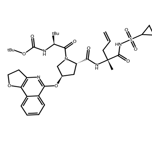 C=CC[C@@](C)(NC(=O)[C@@H]1C[C@@H](Oc2nc3c(c4ccccc24)OCC3)CN1C(=O)[C@@H](NC(=O)OC(C)(C)C)C(C)(C)C)C(=O)NS(=O)(=O)C1CC1